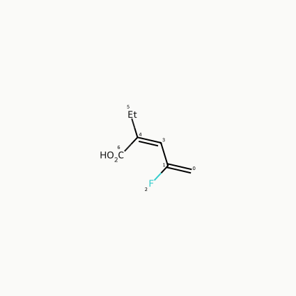 C=C(F)C=C(CC)C(=O)O